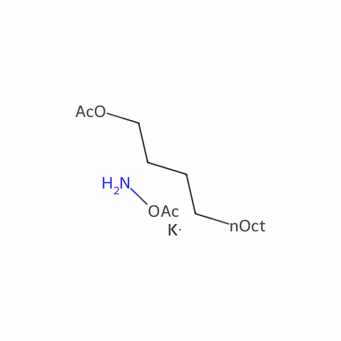 CC(=O)ON.CCCCCCCCCCCCOC(C)=O.[K]